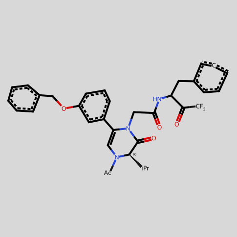 CC(=O)N1C=C(c2cccc(OCc3ccccc3)c2)N(CC(=O)NC(Cc2ccccc2)C(=O)C(F)(F)F)C(=O)[C@H]1C(C)C